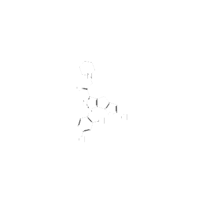 O=C(CN1CCCCC1)c1nn(-c2ccc(Cl)cc2Cl)c2c1Cc1cc(Cl)sc1-2